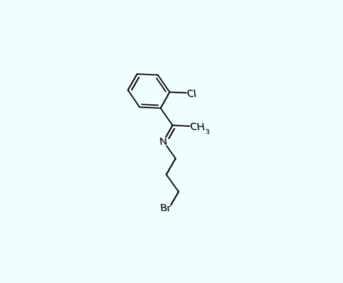 C/C(=N\CCCBr)c1ccccc1Cl